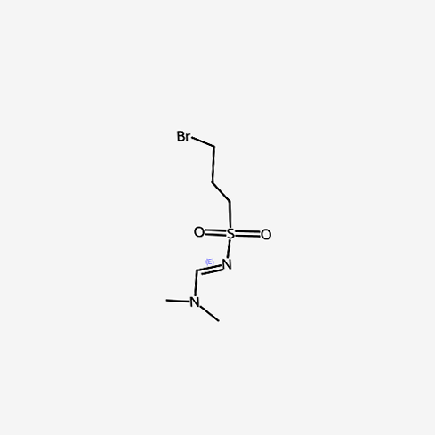 CN(C)/C=N/S(=O)(=O)CCCBr